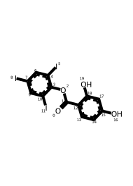 O=C(Oc1c(I)cc(I)cc1I)c1ccc(O)cc1O